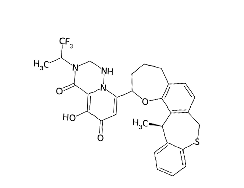 CC(N1CNn2c(C3CCCc4ccc5c(c4O3)[C@H](C)c3ccccc3SC5)cc(=O)c(O)c2C1=O)C(F)(F)F